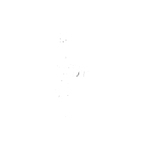 CN(C)CCCC1(C)OCCC2=C1Cc1ccccc12.Cl